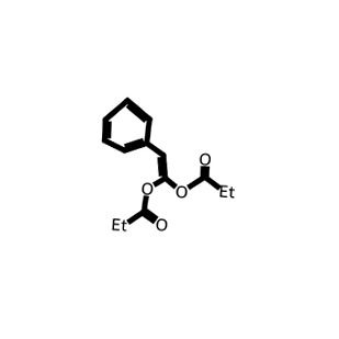 CCC(=O)OC(=Cc1ccccc1)OC(=O)CC